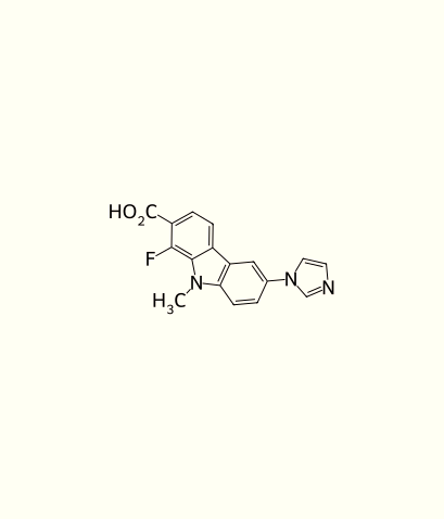 Cn1c2ccc(-n3ccnc3)cc2c2ccc(C(=O)O)c(F)c21